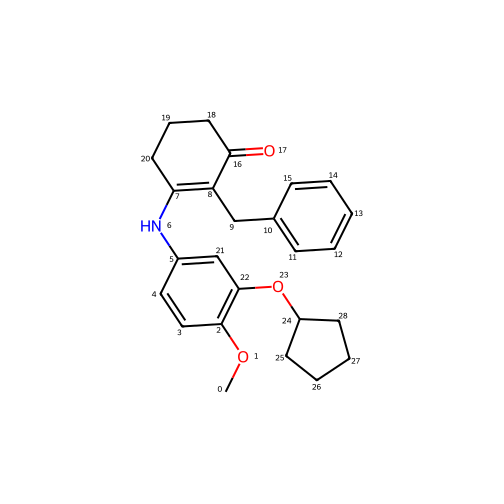 COc1ccc(NC2=C(Cc3ccccc3)C(=O)CCC2)cc1OC1CCCC1